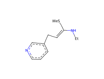 CCN/C(=C/Cc1cccnc1)SC